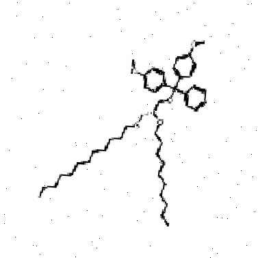 CCCCCCCCCCCCSC[C@H](COC(c1ccccc1)(c1ccc(OC)cc1)c1ccc(OC)cc1)OCCCCCCCCCC